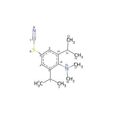 CC(C)c1cc(SC#N)cc(C(C)C)c1N(C)C